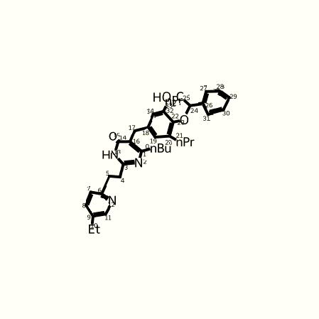 CCCCc1nc(CCc2ccc(CC)cn2)[nH]c(=O)c1Cc1cc(CCC)c(OC(C(=O)O)c2ccccc2)c(CCC)c1